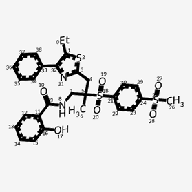 CCc1sc(CC(C)(CNC(=O)c2ccccc2O)S(=O)(=O)c2ccc(S(C)(=O)=O)cc2)nc1-c1ccccc1